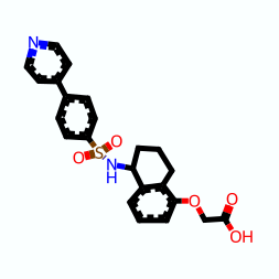 O=C(O)COc1cccc2c1CCCC2NS(=O)(=O)c1ccc(-c2ccncc2)cc1